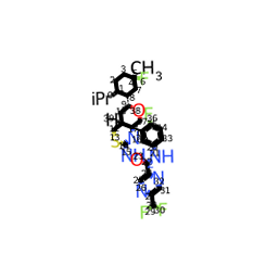 CC(C)C1CCC(C)(F)CC1[C@H]1C[C@H]2CSC(N)=N[C@@]2(c2cc(NC(=O)c3cnc(C(F)F)cn3)ccc2F)CO1